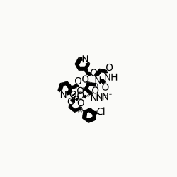 [N-]=[N+]=N[C@]1(COP2(=O)OCC[C@@H](c3cccc(Cl)c3)O2)O[C@@H](n2ccc(=O)[nH]c2=O)[C@H](OC(=O)c2cccnc2)[C@@H]1OC(=O)c1cccnc1